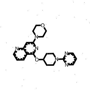 c1cnc(N2CCC(Oc3nc(N4CCOCC4)cc4ncccc34)CC2)nc1